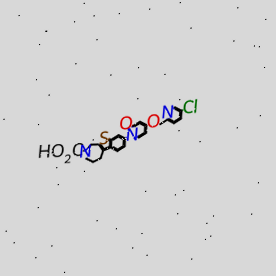 O=C(O)N1CCCc2c(sc3cc(-n4ccc(OCc5ccc(Cl)cn5)cc4=O)ccc23)C1